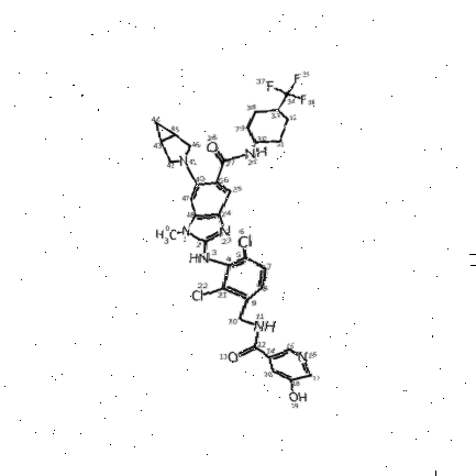 Cn1c(Nc2c(Cl)ccc(CNC(=O)c3cncc(O)c3)c2Cl)nc2cc(C(=O)N[C@H]3CC[C@H](C(F)(F)F)CC3)c(N3CC4CC4C3)cc21